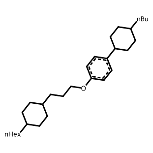 CCCCCCC1CCC(CCCOc2ccc(C3CCC(CCCC)CC3)cc2)CC1